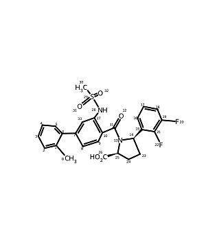 Cc1ccccc1-c1ccc(C(=O)N2[C@@H](c3cccc(F)c3F)CC[C@H]2C(=O)O)c(NS(C)(=O)=O)c1